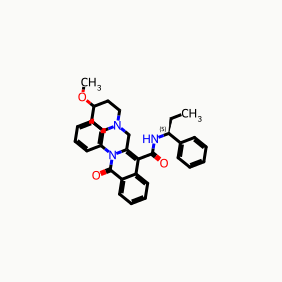 CC[C@H](NC(=O)c1c(CN2CCC(OC)CC2)n(-c2ccccc2)c(=O)c2ccccc12)c1ccccc1